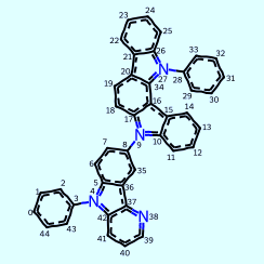 c1ccc(-n2c3ccc(-n4c5ccccc5c5c4ccc4c6ccccc6n(-c6ccccc6)c45)cc3c3ncccc32)cc1